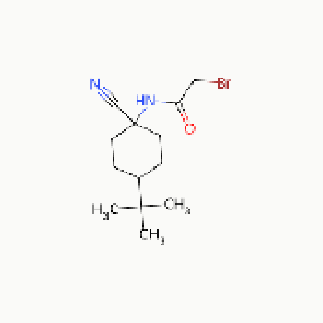 CC(C)(C)C1CCC(C#N)(NC(=O)CBr)CC1